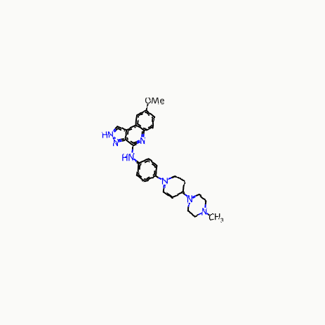 COc1ccc2nc(Nc3ccc(N4CCC(N5CCN(C)CC5)CC4)cc3)c3n[nH]cc3c2c1